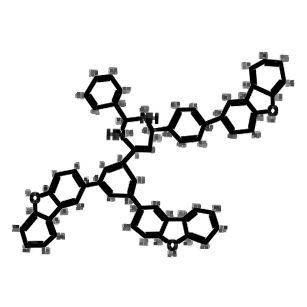 C1=C(c2cc(-c3ccc4oc5ccccc5c4c3)cc(-c3ccc4oc5ccccc5c4c3)c2)NC(c2ccccc2)N[C@H]1c1ccc(-c2ccc3oc4ccccc4c3c2)cc1